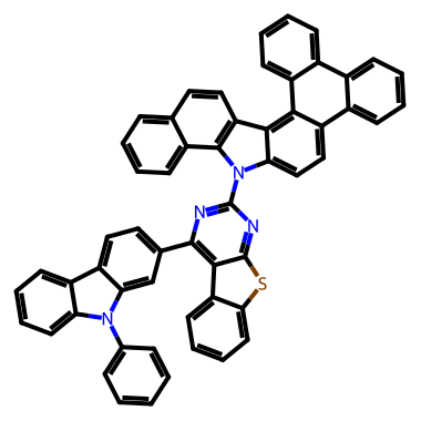 c1ccc(-n2c3ccccc3c3ccc(-c4nc(-n5c6ccc7c8ccccc8c8ccccc8c7c6c6ccc7ccccc7c65)nc5sc6ccccc6c45)cc32)cc1